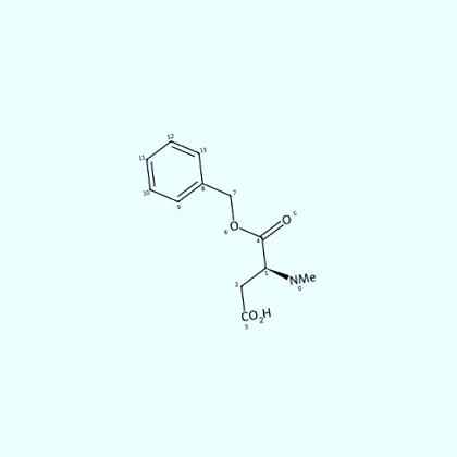 CN[C@@H](CC(=O)O)C(=O)OCc1ccccc1